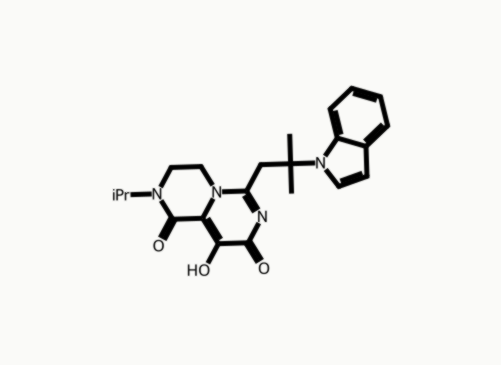 CC(C)N1CCn2c(CC(C)(C)n3ccc4ccccc43)nc(=O)c(O)c2C1=O